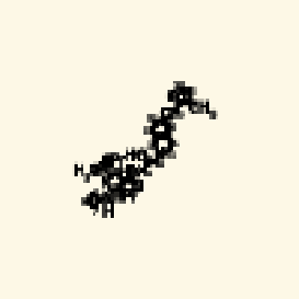 CCCC1C(NC2CCC2)N=C(N(C)CCC)CC1C(=O)NC[C@H](O)CN1CCc2cc(OCc3ocnc3C)ccc2C1